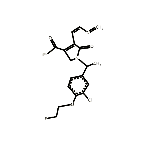 C=N/C=C\C1=C(C(=O)C(C)C)CN(C(C)c2ccc(OCCF)c(Cl)c2)C1=O